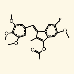 COc1cc2c(cc1F)C(=Cc1cc(OC)c(OC)c(OC)c1)C(C)=C2OC(C)=O